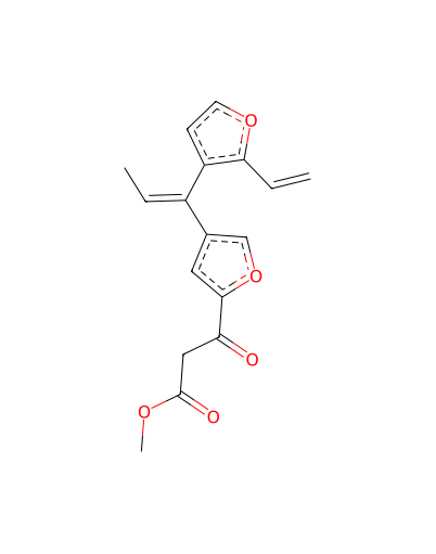 C=Cc1occc1/C(=C\C)c1coc(C(=O)CC(=O)OC)c1